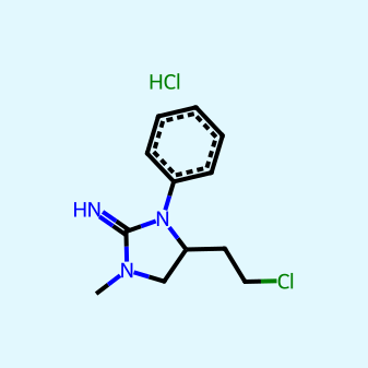 CN1CC(CCCl)N(c2ccccc2)C1=N.Cl